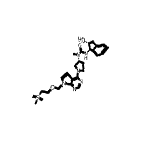 CN(C(=O)N[C@@H]1c2ccccc2C[C@H]1O)[C@@H]1CCN(c2ncnc3c2ccn3COCC[Si](C)(C)C)C1